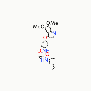 C=C/C(=C\C=C/C)NC(=O)C1(C(=O)Nc2ccc(Oc3ccnc4cc(OC)c(OC)cc34)cc2)CC1